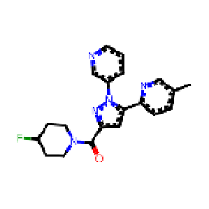 Cc1ccc(-c2cc(C(=O)N3CCC(F)CC3)nn2-c2cccnc2)nc1